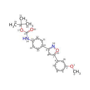 COc1cccc(-c2cc(-c3ccc(NC(=O)OC(C)(C)C)cc3)no2)c1